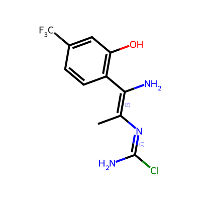 CC(/N=C(\N)Cl)=C(/N)c1ccc(C(F)(F)F)cc1O